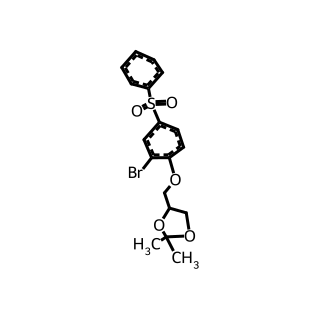 CC1(C)OCC(COc2ccc(S(=O)(=O)c3ccccc3)cc2Br)O1